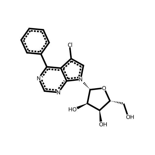 OC[C@H]1O[C@@H](n2cc(Cl)c3c(-c4ccccc4)ncnc32)[C@H](O)[C@@H]1O